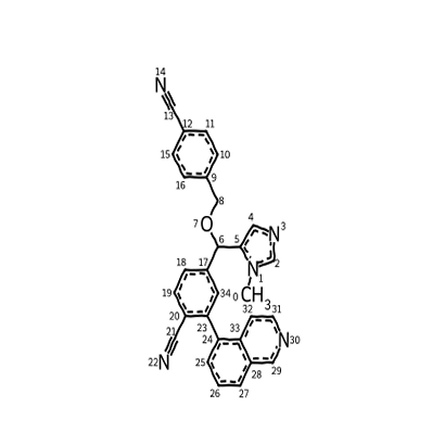 Cn1cncc1C(OCc1ccc(C#N)cc1)c1ccc(C#N)c(-c2cccc3cnccc23)c1